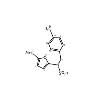 COc1ccc(N(Cc2ccc(C)cc2)C(=O)O)o1